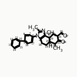 Cc1nc2c(n1-c1ccc(-c3ccccc3)cc1)CC[C@H]1[C@H](C)C(=O)C(C=O)C[C@]21C